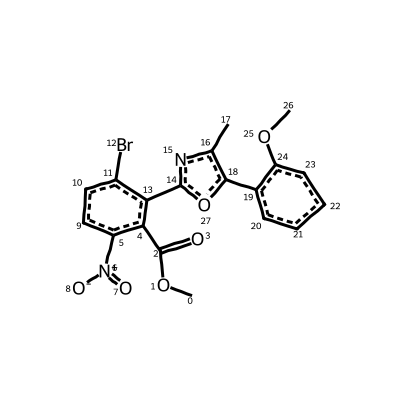 COC(=O)c1c([N+](=O)[O-])ccc(Br)c1-c1nc(C)c(-c2ccccc2OC)o1